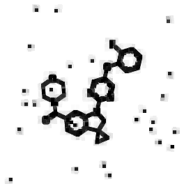 O=C(c1ccc2c(c1)N(c1ncc(Oc3ccccc3F)cn1)CC21CC1)N1CCOCC1